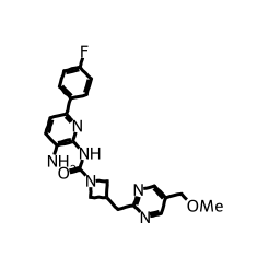 COCc1cnc(CC2CN(C(=O)Nc3nc(-c4ccc(F)cc4)ccc3N)C2)nc1